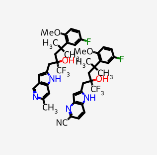 COc1ccc(F)cc1C(C)(C)CC(O)(Cc1cc2cnc(C)cc2[nH]1)C(F)(F)F.COc1ccc(F)cc1C(C)(C)CC(O)(Cc1cc2nc(C#N)ccc2[nH]1)C(F)(F)F